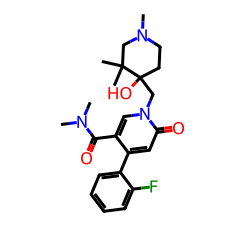 CN1CCC(O)(Cn2cc(C(=O)N(C)C)c(-c3ccccc3F)cc2=O)C(C)(C)C1